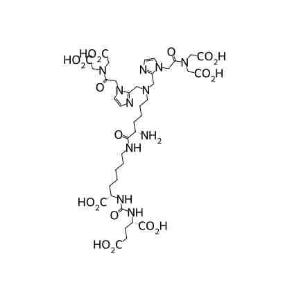 N[C@@H](CCCCN(Cc1nccn1CC(=O)N(CC(=O)O)CC(=O)O)Cc1nccn1CC(=O)N(CC(=O)O)CC(=O)O)C(=O)NCCCCC[C@H](NC(=O)N[C@@H](CCC(=O)O)C(=O)O)C(=O)O